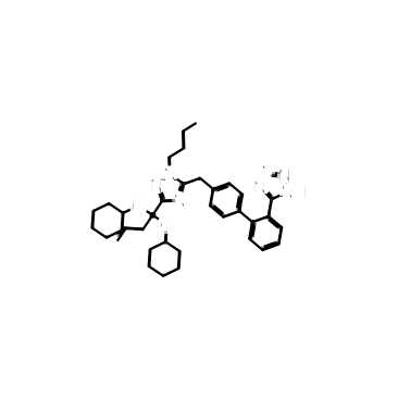 CCCCn1nc(C(CCC)(OC2CCCCC2)OC2CCCCC2)nc1Cc1ccc(-c2ccccc2-c2nnn[nH]2)cc1